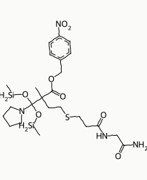 C[SiH2]OC(O[SiH2]C)(N1CCCC1)C(C)(CCSCCC(=O)NCC(N)=O)C(=O)OCc1ccc([N+](=O)[O-])cc1